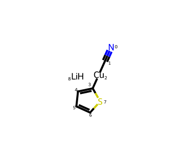 N#[C][Cu][c]1cccs1.[LiH]